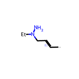 [CH2]/C=C/CN(N)CC